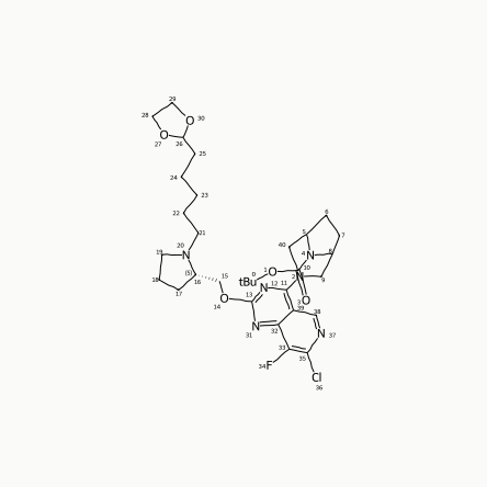 CC(C)(C)OC(=O)N1C2CCC1CN(c1nc(OC[C@@H]3CCCN3CCCCCC3OCCO3)nc3c(F)c(Cl)ncc13)C2